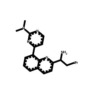 CC(C)CC(N)c1ccc2cccc(-c3ccnc(N(C)C)n3)c2n1